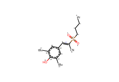 CC(C)CCCS(=O)(=O)/C(C#N)=C/c1cc(C(C)(C)C)c(O)c(C(C)(C)C)c1